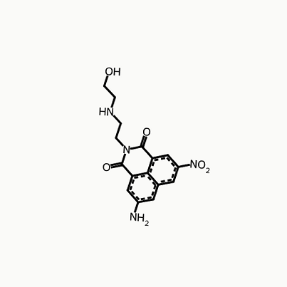 Nc1cc2c3c(cc([N+](=O)[O-])cc3c1)C(=O)N(CCNCCO)C2=O